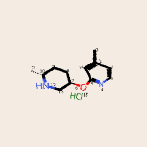 Cc1ccnc(O[C@@H]2CC[C@@H](C)NC2)c1.Cl